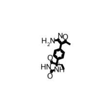 CC[C@@]1(c2ccc(-c3c(N)noc3C)cc2)NC(=O)NC1=O